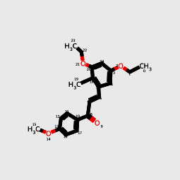 CCOc1cc(C=CC(=O)c2ccc(OC)cc2)c(C)c(OCC)c1